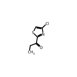 CCC(=O)c1nc(Cl)cs1